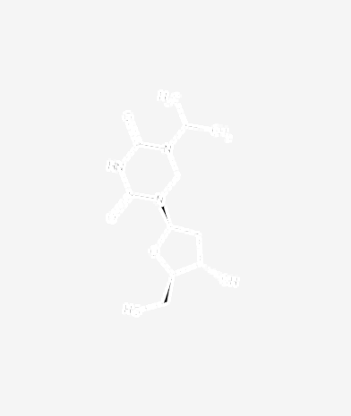 CC(C)N1CN([C@H]2C[C@H](O)[C@@H](CO)O2)C(=O)NC1=O